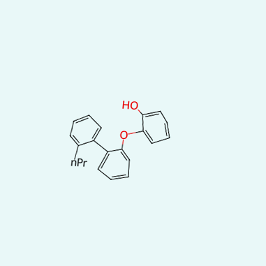 CCCc1ccccc1-c1ccccc1Oc1ccccc1O